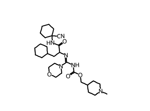 CN1CCC(COC(=O)N/C(=N/C(CC2CCCCC2)C(=O)NC2(C#N)CCCCC2)N2CCOCC2)CC1